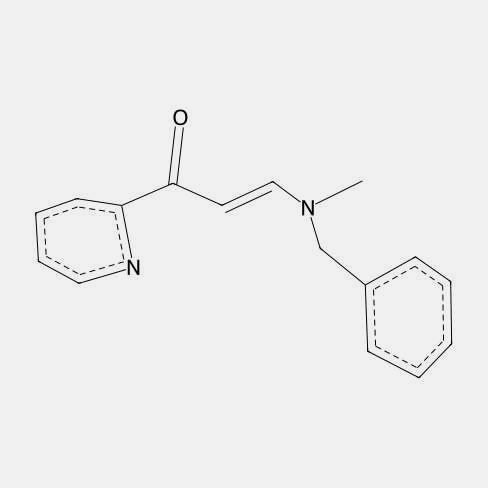 CN(C=CC(=O)c1ccccn1)Cc1ccccc1